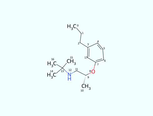 CCCc1cccc(O[C@H](C)CNC(C)(C)C)c1